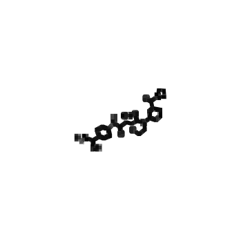 N=C(N)c1ccc(NC(=O)[C@H](O)[C@H]2OCCN(c3cccc(C(=O)N4CCC4)c3)C2=O)cc1